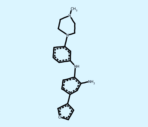 CN1CCN(c2cccc(Nc3ccc(-c4ccoc4)cc3N)c2)CC1